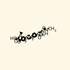 CCNC(=O)NCC1CN(c2ccc(N3CCN(c4cc5c(cc4F)c(=O)c(C(=O)O)cn5C4CC4)CC3)c(F)c2)C(=O)O1